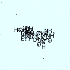 CCC(CC)(CC1O[C@@H](n2c(=O)[nH]c3c(=O)[nH]c(N)nc32)[C@H](O)C1O)OP(=O)(O)C(C)(C)O